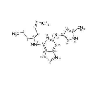 C/C=C\CC(CCC)Nc1nc(Nc2cc(C)[nH]n2)nc2ncsc12